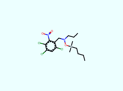 CCCC[Si](C)(C)ON(CCC)Cc1c(Cl)cc(Cl)c(Cl)c1[N+](=O)[O-]